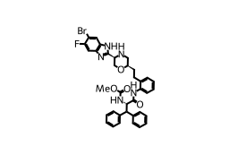 COC(=O)N[C@H](C(=O)Nc1ccccc1CC[C@@H]1CN[C@H](c2nc3cc(F)c(Br)cc3[nH]2)CO1)C(c1ccccc1)c1ccccc1